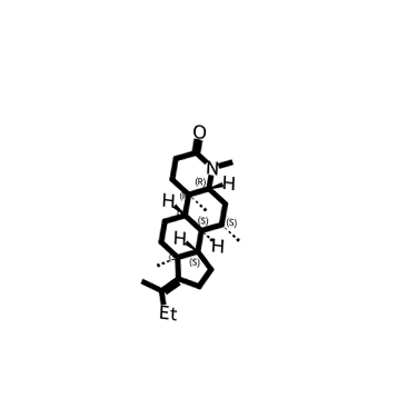 CCC(C)=C1CC[C@H]2[C@@H]3[C@@H](C)C[C@H]4N(C)C(=O)CC[C@]4(C)[C@H]3CC[C@]12C